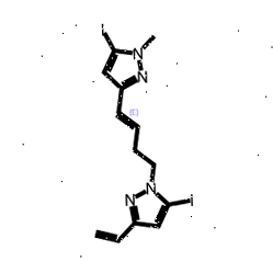 C=Cc1cc(I)n(CC/C=C/c2cc(I)n(C)n2)n1